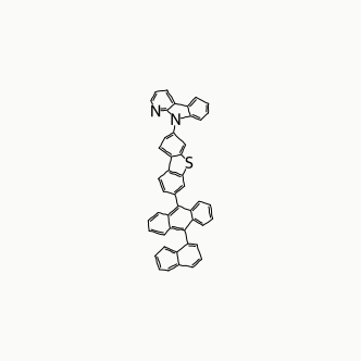 c1ccc2c(-c3c4ccccc4c(-c4ccc5c(c4)sc4cc(-n6c7ccccc7c7cccnc76)ccc45)c4ccccc34)cccc2c1